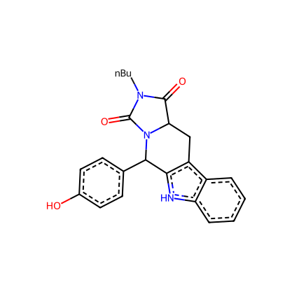 CCCCN1C(=O)C2Cc3c([nH]c4ccccc34)C(c3ccc(O)cc3)N2C1=O